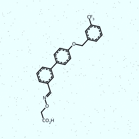 O=C(O)CON=Cc1cccc(-c2ccc(OCc3cccc(C(F)(F)F)c3)cc2)c1